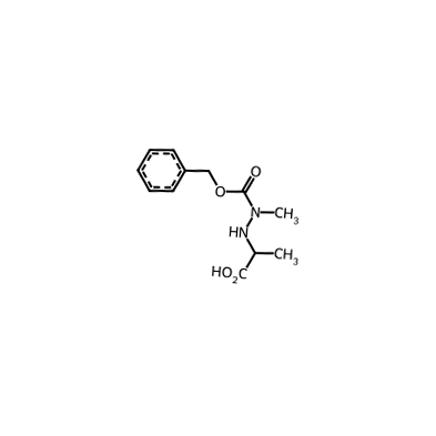 CC(NN(C)C(=O)OCc1ccccc1)C(=O)O